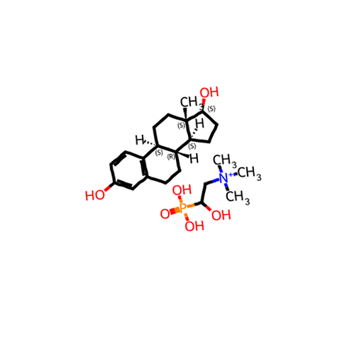 C[C@]12CC[C@@H]3c4ccc(O)cc4CC[C@H]3[C@@H]1CC[C@@H]2O.C[N+](C)(C)CC(O)P(=O)(O)O